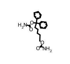 NC(=O)OCCCCCC(OC(N)=O)(c1ccccc1)c1ccccc1